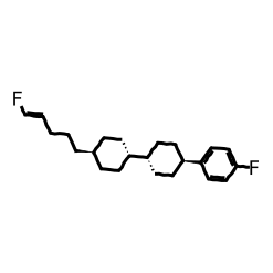 FC=CCCC[C@H]1CC[C@H]([C@H]2CC[C@H](c3ccc(F)cc3)CC2)CC1